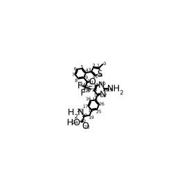 Cc1cc(-c2ccccc2C(Oc2cc(-c3ccc(CC(N)C(=O)O)cc3)nc(N)n2)C(F)(F)F)cs1